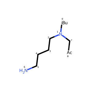 CCC(C)N(CCCCN)CC(C)=O